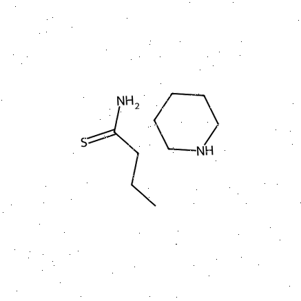 C1CCNCC1.CCCC(N)=S